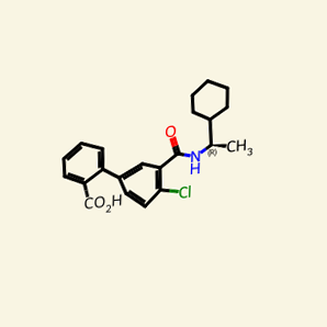 C[C@@H](NC(=O)c1cc(-c2ccccc2C(=O)O)ccc1Cl)C1CCCCC1